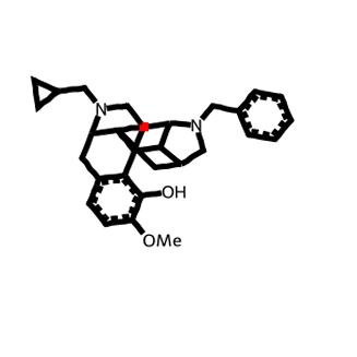 COc1ccc2c(c1O)C13CCN(CC4CC4)C(C2)C12CCC1C3C(CN1Cc1ccccc1)C2